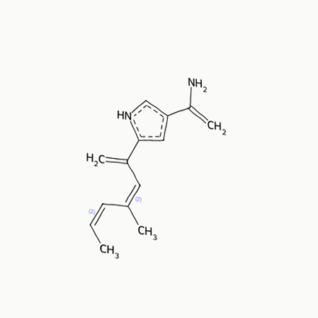 C=C(N)c1c[nH]c(C(=C)/C=C(C)\C=C/C)c1